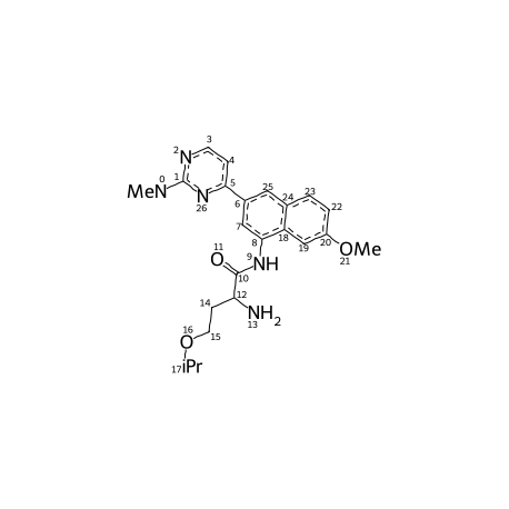 CNc1nccc(-c2cc(NC(=O)C(N)CCOC(C)C)c3cc(OC)ccc3c2)n1